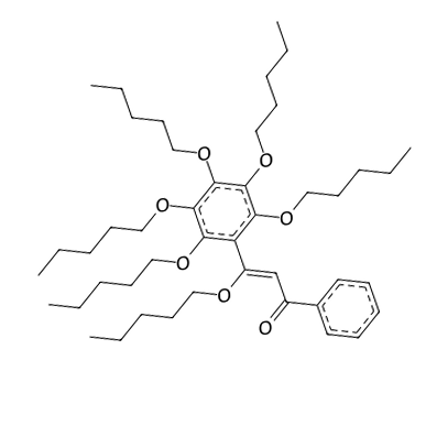 CCCCCOC(=CC(=O)c1ccccc1)c1c(OCCCCC)c(OCCCCC)c(OCCCCC)c(OCCCCC)c1OCCCCC